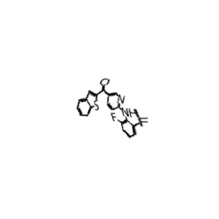 O=C(c1ccc(Nc2c(F)cccc2F)nc1)c1cc2ccccc2s1